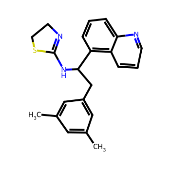 Cc1cc(C)cc(CC(NC2=NCCS2)c2cccc3ncccc23)c1